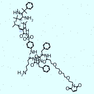 CNC([C@H](/C=C(\C)C(=O)NS(=O)(=O)c1ccc(NC[C@@H](CCCCN)NC(=O)[C@H](Cc2ccccc2)NC(=O)[C@@H](Cc2ccccc2)NC(=O)CCOCCOCCOCCN2C(=O)C=CC2=O)cc1)C(C)C)[C@@H](C(N)[C@@H](NC)C(C)(C)c1ccccc1)C(C)(C)C